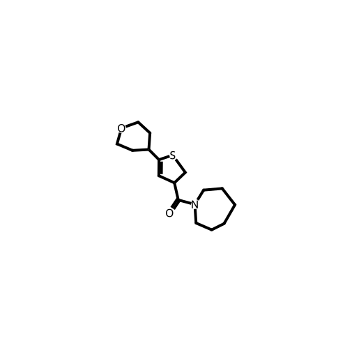 O=C(C1C=C(C2CCOCC2)SC1)N1CCCCCC1